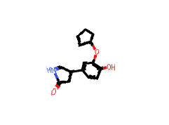 O=C1CC(c2ccc(O)c(OC3CCCC3)c2)CN1